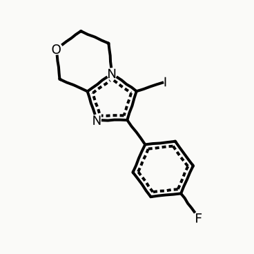 Fc1ccc(-c2nc3n(c2I)CCOC3)cc1